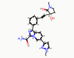 CN1CC[C@@](O)(C#Cc2cccc(-c3nc(C(N)=O)n4cc(-c5ccn(C)n5)ccc34)c2)C1=O